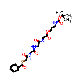 CC(C)(C)OC(=O)NCCCOC(=O)CNC(=O)CNC(=O)CNC(=O)CSC(=O)c1ccccc1